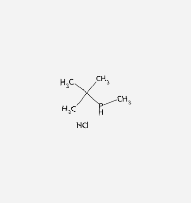 CPC(C)(C)C.Cl